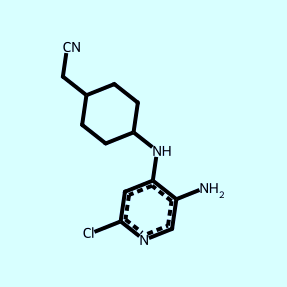 N#CCC1CCC(Nc2cc(Cl)ncc2N)CC1